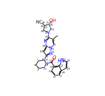 Cc1cn2nc([C@@H]3CCCCN3C(=O)c3cccc4cc[nH]c34)cc2nc1N1C[C@@H](C#N)[C@@H](O)C1